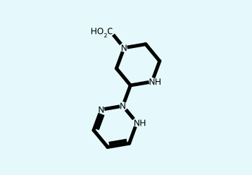 O=C(O)N1CCNC(N2N=CC=CN2)C1